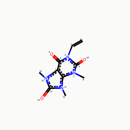 C=Cn1c(=O)c2c(n(C)c1=O)n(C)c(=O)n2C